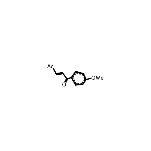 COc1ccc(C(=O)C=CC(C)=O)cc1